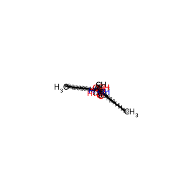 CCCCCCCCC=CCCCCCCCC(=O)NC(C(=O)O)C(CCC)(NC(=O)CCCCCCCC=CCCCCCCCC)C(=O)O